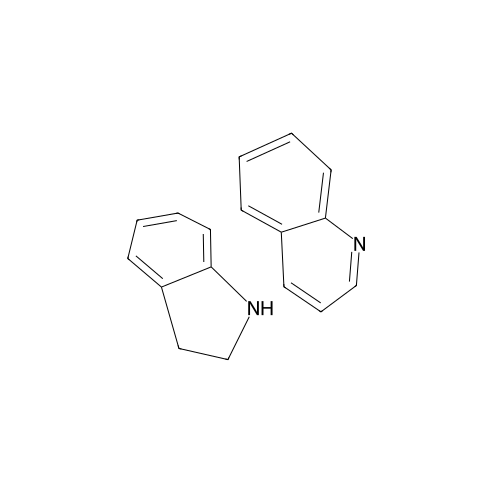 c1ccc2c(c1)CCN2.c1ccc2ncccc2c1